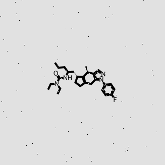 CCCC(C[C@H]1CCC2=C1[C@@H](C)c1cnn(-c3ccc(F)cc3)c1C2)NC(=O)N(CC)CC